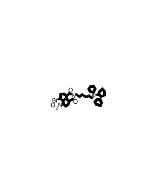 O=C1c2ccc(Br)c3c([N+](=O)[O-])ccc(c23)C(=O)N1CCCCCC[PH](c1ccccc1)(c1ccccc1)c1ccccc1